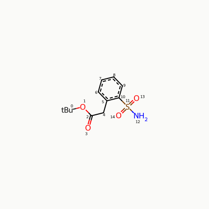 CC(C)(C)OC(=O)Cc1ccccc1S(N)(=O)=O